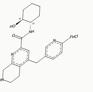 Cl.O=C(N[C@H]1CCCC[C@@H]1O)c1cc(Cc2ccc(F)nc2)c2c(n1)CNCC2